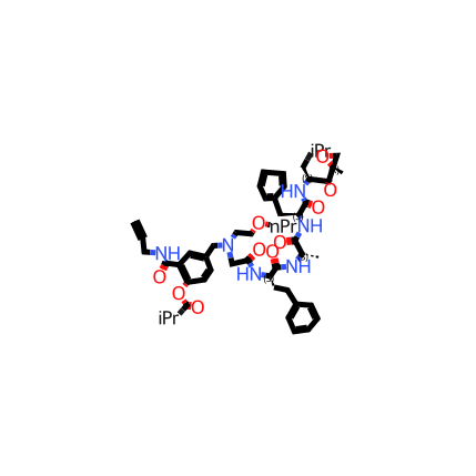 C#CCNC(=O)c1cc(CN(CCOCCC)CC(=O)N[C@@H](CCc2ccccc2)C(=O)N[C@@H](C)C(=O)N[C@@H](Cc2ccccc2)C(=O)N[C@@H](CC(C)C)C(=O)[C@@]2(C)CO2)ccc1OC(=O)C(C)C